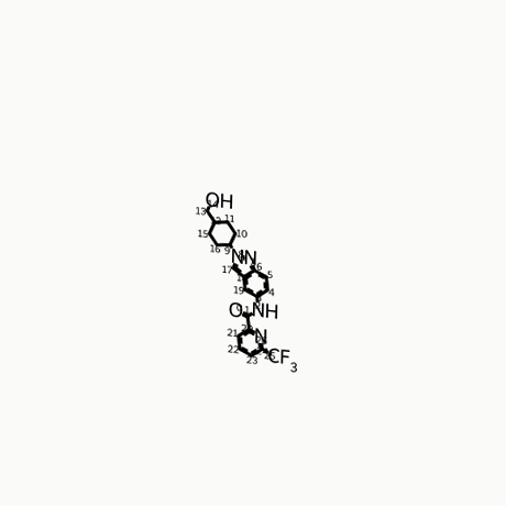 O=C(Nc1ccc2nn(C3CCC(CO)CC3)cc2c1)c1cccc(C(F)(F)F)n1